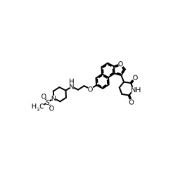 CS(=O)(=O)N1CCC(NCCOc2ccc3c(ccc4occ(C5CCC(=O)NC5=O)c43)c2)CC1